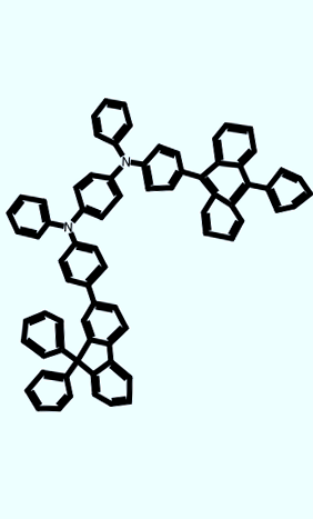 c1ccc(-c2c3ccccc3c(-c3ccc(N(c4ccccc4)c4ccc(N(c5ccccc5)c5ccc(-c6ccc7c(c6)C(c6ccccc6)(c6ccccc6)c6ccccc6-7)cc5)cc4)cc3)c3ccccc23)cc1